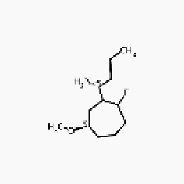 CCC[C@@H](P)C1C[C@H](OC)CCCC1F